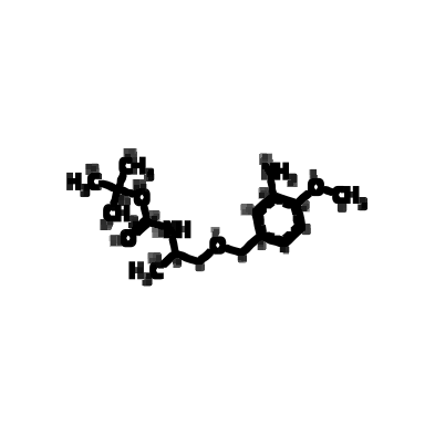 COc1ccc(COCC(C)NC(=O)OC(C)(C)C)cc1N